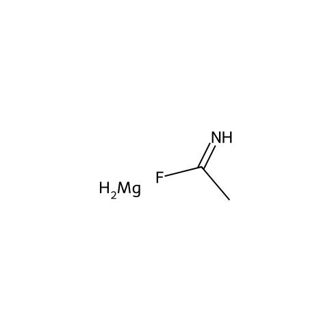 CC(=N)F.[MgH2]